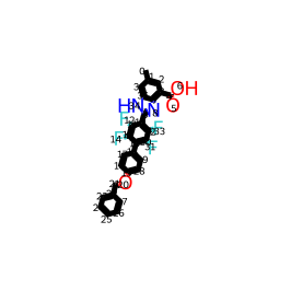 Cc1cc(C(=O)O)c2nc(-c3c(F)c(F)c(-c4ccc(OCc5ccccc5)cc4)c(F)c3F)[nH]c2c1